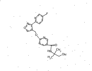 CC(C)(CO)NC(=O)c1ccc(OCc2conc2-c2ccc(F)cn2)nc1